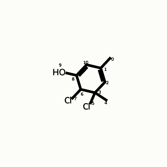 CC1=CC(C)(Cl)C(Cl)C(O)=C1